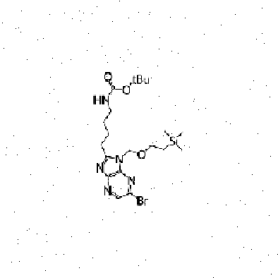 CC(C)(C)OC(=O)NCCCCc1nc2ncc(Br)nc2n1COCC[Si](C)(C)C